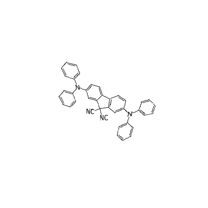 [C-]#[N+]C1(C#N)c2cc(N(c3ccccc3)c3ccccc3)ccc2-c2ccc(N(c3ccccc3)c3ccccc3)cc21